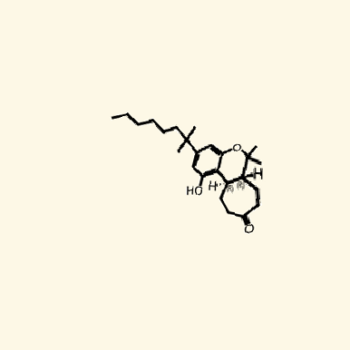 CCCCCCC(C)(C)c1cc(O)c2c(c1)OC(C)(C)[C@@H]1CCC(=O)CC[C@@H]21